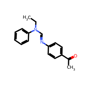 CCN(C=Nc1ccc(C(C)=O)cc1)c1ccccc1